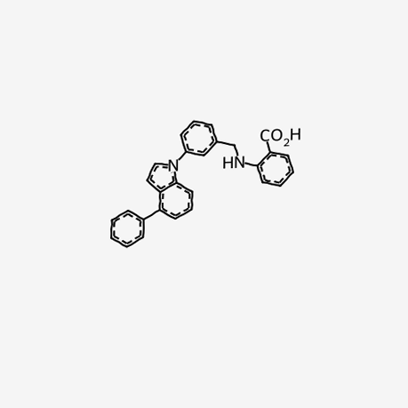 O=C(O)c1ccccc1NCc1cccc(-n2ccc3c(-c4ccccc4)cccc32)c1